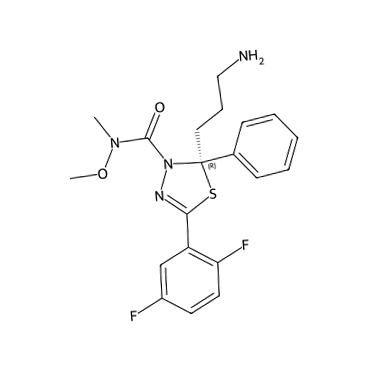 CON(C)C(=O)N1N=C(c2cc(F)ccc2F)S[C@]1(CCCN)c1ccccc1